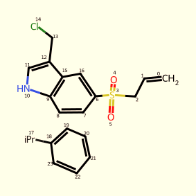 C=CCS(=O)(=O)c1ccc2[nH]cc(CCl)c2c1.CC(C)c1ccccc1